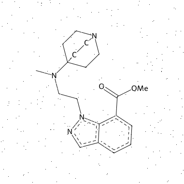 COC(=O)c1cccc2cnn(CCN(C)C34CCN(CC3)CC4)c12